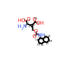 NC(C(=O)O)C1C(COC(=O)Nc2cccc3ccccc23)C1C(=O)O